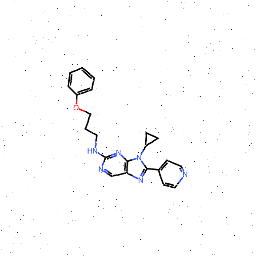 c1ccc(OCCCNc2ncc3nc(-c4ccncc4)n(C4CC4)c3n2)cc1